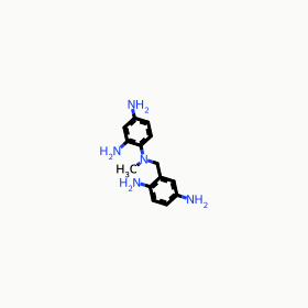 CN(Cc1cc(N)ccc1N)c1ccc(N)cc1N